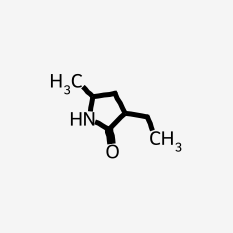 CCC1CC(C)NC1=O